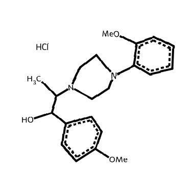 COc1ccc(C(O)C(C)N2CCN(c3ccccc3OC)CC2)cc1.Cl